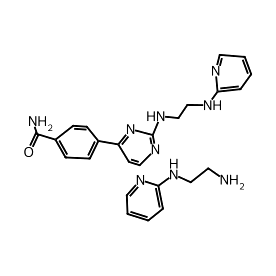 NC(=O)c1ccc(-c2ccnc(NCCNc3ccccn3)n2)cc1.NCCNc1ccccn1